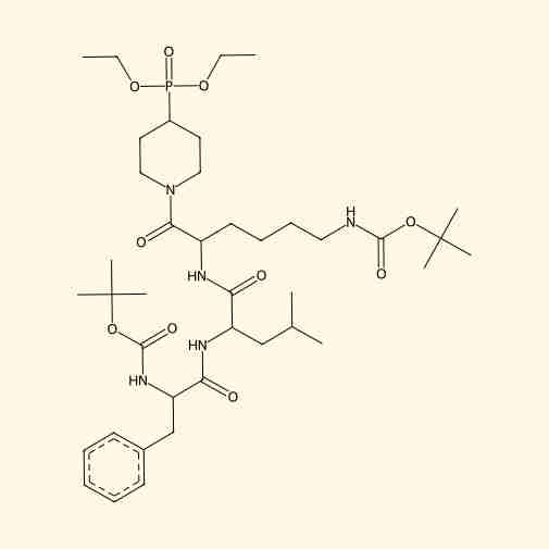 CCOP(=O)(OCC)C1CCN(C(=O)C(CCCCNC(=O)OC(C)(C)C)NC(=O)C(CC(C)C)NC(=O)C(Cc2ccccc2)NC(=O)OC(C)(C)C)CC1